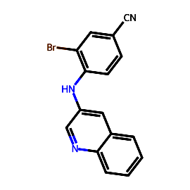 N#Cc1ccc(Nc2cnc3ccccc3c2)c(Br)c1